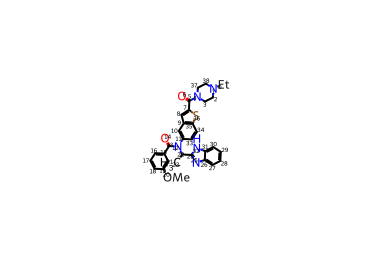 CCN1CCN(C(=O)c2cc3cc(N(C(=O)c4cccc(OC)c4)C(C)c4nc5ccccc5[nH]4)ccc3s2)CC1